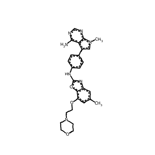 Cc1cc(OCCN2CCOCC2)c2oc(Nc3ccc(-c4cn(C)c5ncnc(N)c45)cc3)nc2c1